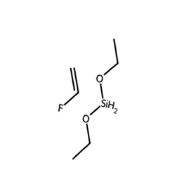 C=CF.CCO[SiH2]OCC